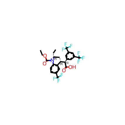 CCOC(=O)N1c2ccc(C(F)(F)F)cc2[C@@H]([C@H](C(=O)O)c2cc(C(F)(F)F)cc(C(F)(F)F)c2)C[C@H]1CC